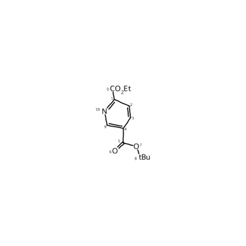 CCOC(=O)c1ccc(C(=O)OC(C)(C)C)cn1